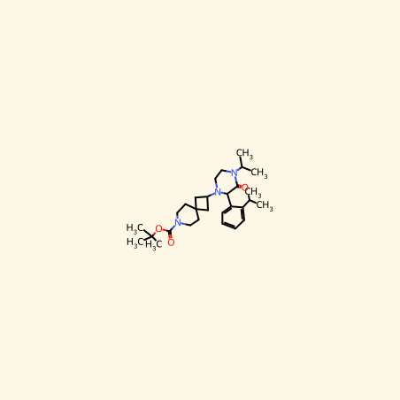 CC(C)c1ccccc1C1C(=O)N(C(C)C)CCN1C1CC2(CCN(C(=O)OC(C)(C)C)CC2)C1